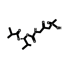 CC(C)C(=O)O[C@H](OC(=O)NCC(=O)CP(C)(=O)O)C(C)C